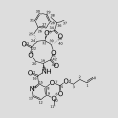 C=CCCOC(=O)Oc1c(OC)ccnc1C(=O)N[C@H]1COC(=O)[C@H](Cc2ccccc2)[C@@H](OC(=O)C(C)C)[C@H](C)OC1=O